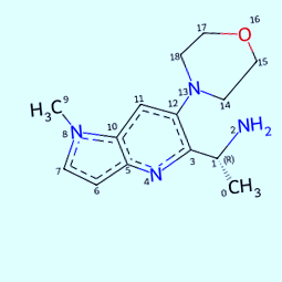 C[C@@H](N)c1nc2ccn(C)c2cc1N1CCOCC1